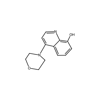 Oc1cccc2c(N3CCOCC3)ccnc12